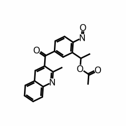 CC(=O)OC(C)c1cc(C(=O)c2cc3ccccc3nc2C)ccc1N=O